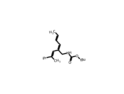 C/C=C/C=C(\C=C(/C)C(C)C)CNC(=O)OC(C)(C)C